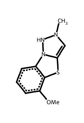 COc1cccc2c1SC1=CN(C)NN12